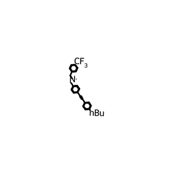 CCCCc1ccc(C#Cc2ccc(C[N]Cc3ccc(C(F)(F)F)cc3)cc2)cc1